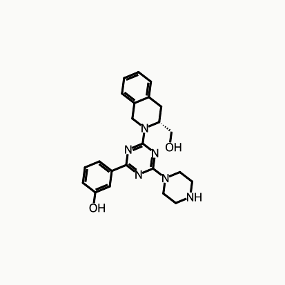 OC[C@H]1Cc2ccccc2CN1c1nc(-c2cccc(O)c2)nc(N2CCNCC2)n1